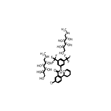 CNC[C@H](O)[C@@H](O)[C@H](O)[C@H](O)CO.CNC[C@H](O)[C@@H](O)[C@H](O)[C@H](O)CO.O=C(Nc1cc(C(F)(F)F)cc(C(F)(F)F)c1)c1cc(Cl)ccc1C1CCC=CO1